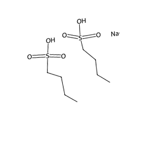 CCCCS(=O)(=O)O.CCCCS(=O)(=O)O.[Na]